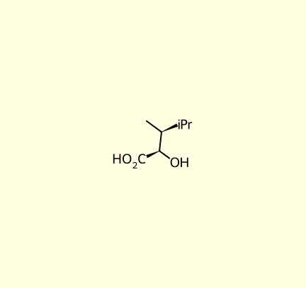 CC(C)[C@H](C)[C@@H](O)C(=O)O